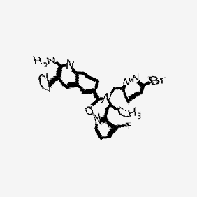 CC(c1ncccc1F)N(Cc1ccc(Br)nn1)C(=O)c1ccc2nc(N)c(Cl)cc2c1